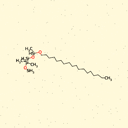 CCCCCCCCCCCCCCCCCCO[SiH](C)O[SiH2][Si](C)(C)O[SiH3]